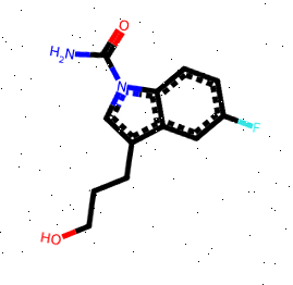 NC(=O)n1cc(C[CH]CO)c2cc(F)ccc21